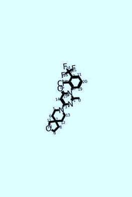 Cc1nc(N2CCC3(CCOC3)CC2)cc(=O)n1-c1cccc(C(F)(F)F)c1Cl